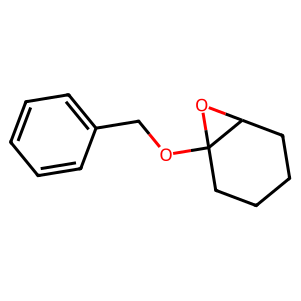 c1ccc(COC23CCCCC2O3)cc1